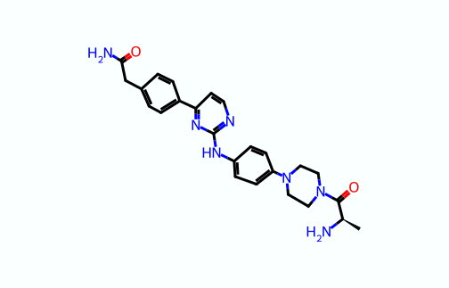 C[C@@H](N)C(=O)N1CCN(c2ccc(Nc3nccc(-c4ccc(CC(N)=O)cc4)n3)cc2)CC1